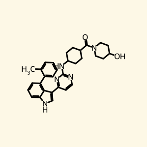 Cc1ccccc1-c1cccc2[nH]cc(-c3ccnc(NC4CCC(C(=O)N5CCC(O)CC5)CC4)n3)c12